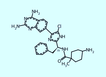 CC1(C(=O)N[C@@H](Cc2ccccc2)c2nc(-c3ccc4c(N)nc(N)nc4c3)c(Cl)[nH]2)CCC(N)CC1